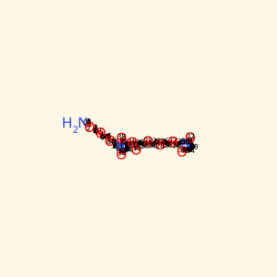 NCOCCOCCOCCN1C(=O)C=C(OC(=O)CCOCCOCCOCCN2C(=O)C=CC2=O)C1=O